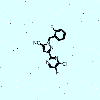 N#Cc1cc(-c2ncc(F)c(Cl)n2)nn1Cc1ccccc1F